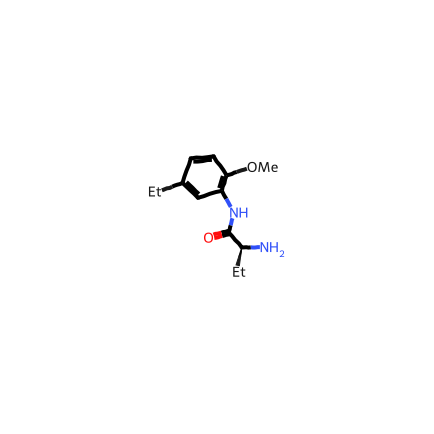 CCc1ccc(OC)c(NC(=O)[C@@H](N)CC)c1